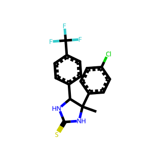 CC1(c2ccc(Cl)cc2)NC(=S)NC1c1ccc(C(F)(F)F)cc1